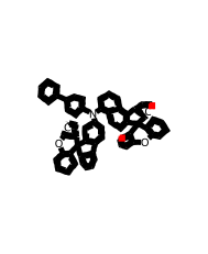 c1ccc(-c2ccc(N(c3ccc4c(c3)C3(c5ccccc5Oc5ccccc53)c3ccccc3-4)c3cccc4c5c(ccc34)C3(c4ccccc4Oc4ccccc43)c3ccccc3-5)cc2)cc1